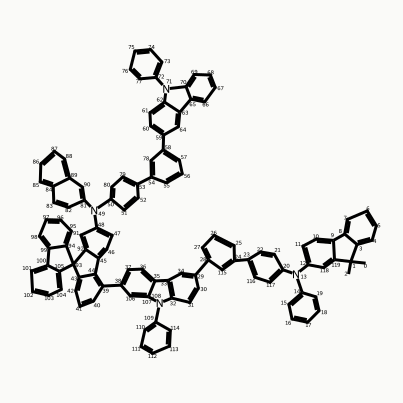 CC1(C)c2ccccc2-c2ccc(N(c3ccccc3)c3ccc(-c4cccc(-c5ccc6c(c5)c5ccc(-c7cccc8c7-c7ccc(N(c9ccc(-c%10cccc(-c%11ccc%12c(c%11)c%11ccccc%11n%12-c%11ccccc%11)c%10)cc9)c9ccc%10ccccc%10c9)cc7C87c8ccccc8-c8ccccc87)cc5n6-c5ccccc5)c4)cc3)cc21